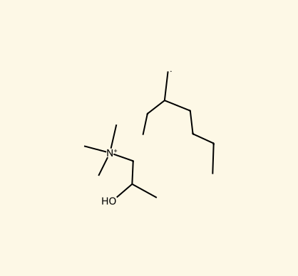 CC(O)C[N+](C)(C)C.[CH2]C(CC)CCCC